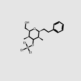 CC[Si](CC)(CC)OC1[C@@H](C)[C@@H](CO)O[C@@H](CCc2ccccc2)[C@H]1C